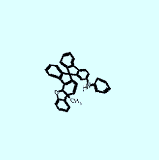 CC12C=CC3=C(c4ccccc4C34c3ccccc3-c3ccc(Nc5ccccc5)cc34)C1Oc1ccccc12